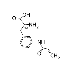 C=CC(=O)Nc1cccc(C[C@H](N)C(=O)O)c1